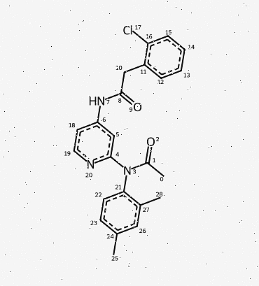 CC(=O)N(c1cc(NC(=O)Cc2ccccc2Cl)ccn1)c1ccc(C)cc1C